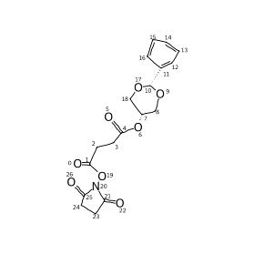 O=C(CCC(=O)O[C@H]1CO[C@@H](c2ccccc2)OC1)ON1C(=O)CCC1=O